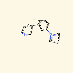 Fc1ccc(-n2ccnc2)cc1-c1cccnc1